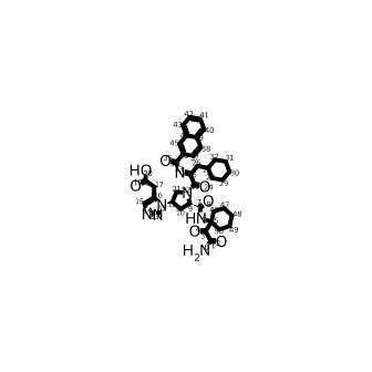 NC(=O)C(=O)C1(NC(=O)[C@@H]2C[C@H](n3nncc3CC(=O)O)CN2C(=O)/C(CC2CCCCC2)=N/C(=O)c2ccc3ccccc3c2)CCCCC1